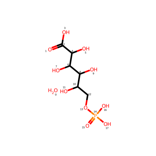 O.O=C(O)C(O)C(O)C(O)C(O)COP(=O)(O)O